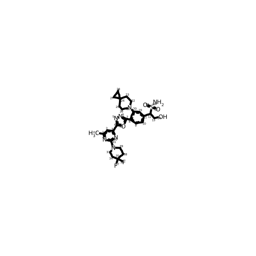 Cc1cc(-c2nnc(-c3ccc(C(CO)S(N)(=O)=O)cc3N3CCC4(CC3)CC4)o2)nc(N2CCC(F)(F)CC2)n1